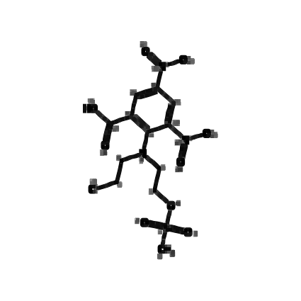 CS(=O)(=O)OCCN(CCCl)c1c(C(=O)O)cc([N+](=O)[O-])cc1[N+](=O)[O-]